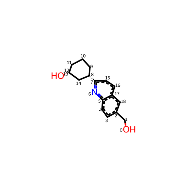 OCc1ccc2nc([C@H]3CCC[C@@H](O)C3)ccc2c1